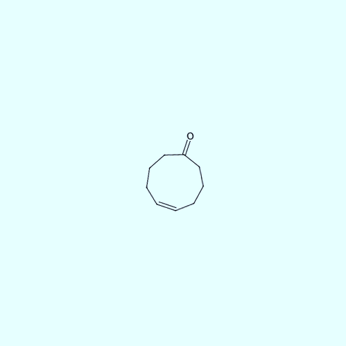 O=C1CCCC=CCCC1